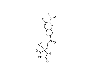 O=C1NC(=O)[C@](CCC(=O)N2Cc3cc(F)c(C(F)F)cc3C2)(C2CC2)N1